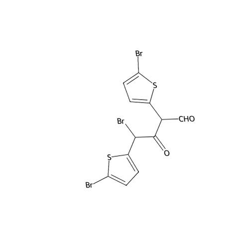 O=CC(C(=O)C(Br)c1ccc(Br)s1)c1ccc(Br)s1